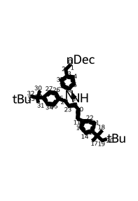 CCCCCCCCCCCCc1ccc(N2NC(C=Cc3ccc(C(C)(C)CC(C)(C)C)cc3)=CC2c2ccc(C(C)(C)CC(C)(C)C)cc2)cc1